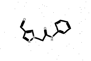 O=Cc1cnn(CC(=O)Nc2ccccc2)c1